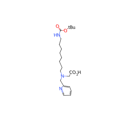 CC(C)(C)OC(=O)NCCCCCCCCN(CC(=O)O)Cc1ccccn1